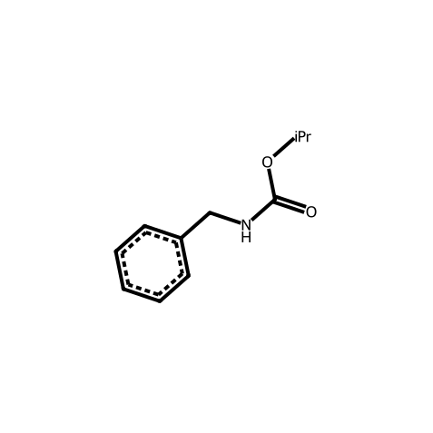 [CH2]C(C)OC(=O)NCc1ccccc1